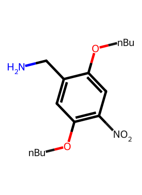 CCCCOc1cc([N+](=O)[O-])c(OCCCC)cc1CN